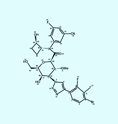 CO[C@@H]1[C@@H](n2cc(-c3ccc(Br)c(F)c3F)nn2)[C@@H](O)[C@@H](CO)O[C@H]1C(=O)N(c1cc(F)cc(C#N)c1)[C@@H]1CC[C@H]1O